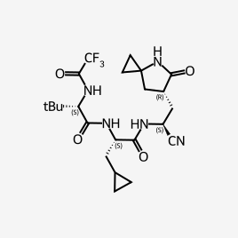 CC(C)(C)[C@H](NC(=O)C(F)(F)F)C(=O)N[C@@H](CC1CC1)C(=O)N[C@H](C#N)C[C@@H]1CC2(CC2)NC1=O